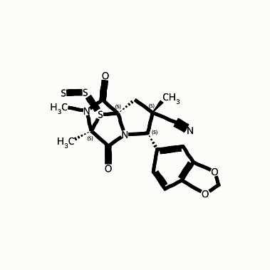 CN1C(=O)[C@@]23C[C@](C)(C#N)[C@H](c4ccc5c(c4)OCO5)N2C(=O)[C@]1(C)S3=S=S